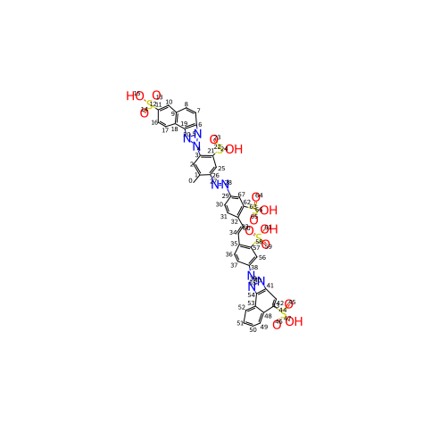 Cc1cc(-n2n3c4ccc5cc(S(=O)(=O)O)ccc5c4n23)c(S(=O)O)cc1N=Nc1ccc(C=Cc2ccc(-n3n4c5cc(S(=O)(=O)O)c6ccccc6c5n34)cc2S(=O)(=O)O)c(S(=O)(=O)O)c1